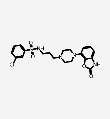 O=c1[nH]c2cccc(N3CCN(CCCNS(=O)(=O)c4cccc(Cl)c4)CC3)c2o1